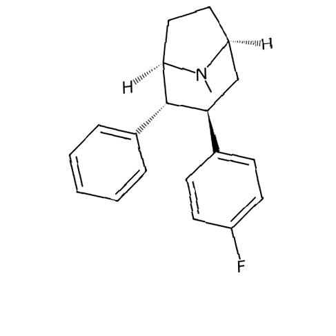 CN1[C@H]2CC[C@@H]1[C@@H](c1ccccc1)[C@H](c1ccc(F)cc1)C2